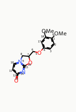 COc1ccc(OCC2Cn3ccc(=O)nc3O2)cc1OC